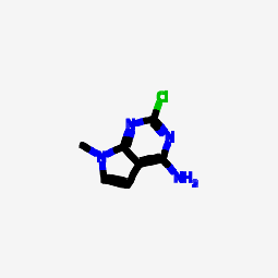 Cn1ccc2c(N)nc(Cl)nc21